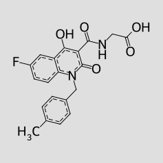 Cc1ccc(Cn2c(=O)c(C(=O)NCC(=O)O)c(O)c3cc(F)ccc32)cc1